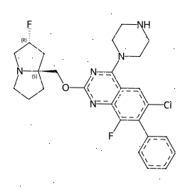 Fc1c(-c2ccccc2)c(Cl)cc2c(N3CCNCC3)nc(OC[C@@]34CCCN3C[C@H](F)C4)nc12